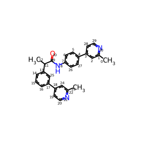 Cc1cc(-c2ccc(NC(=O)C(C)c3cccc(-c4ccnc(C)c4)c3)cc2)ccn1